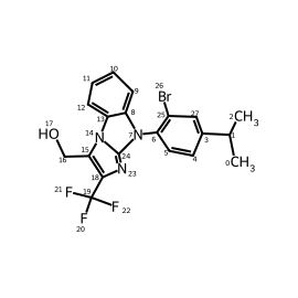 CC(C)c1ccc(-n2c3ccccc3n3c(CO)c(C(F)(F)F)nc23)c(Br)c1